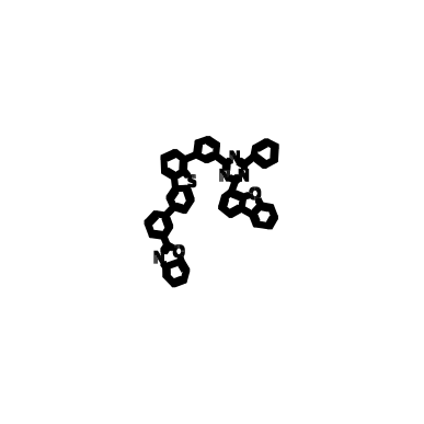 c1ccc(-c2nc(-c3cccc(-c4cccc5c4sc4ccc(-c6cccc(-c7nc8ccccc8o7)c6)cc45)c3)nc(-c3cccc4c3oc3ccccc34)n2)cc1